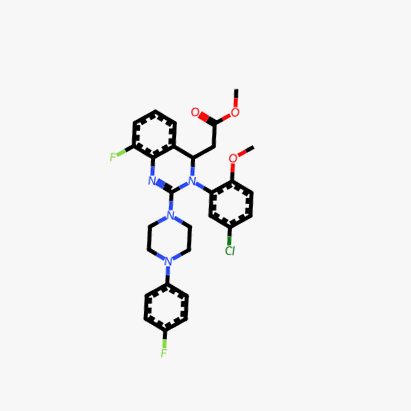 COC(=O)CC1c2cccc(F)c2N=C(N2CCN(c3ccc(F)cc3)CC2)N1c1cc(Cl)ccc1OC